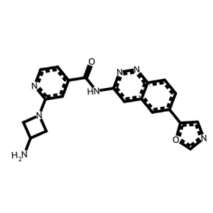 NC1CN(c2cc(C(=O)Nc3cc4cc(-c5cnco5)ccc4nn3)ccn2)C1